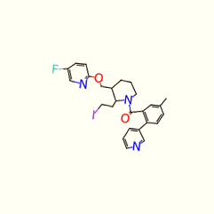 Cc1ccc(-c2cccnc2)c(C(=O)N2CCCC(COc3ccc(F)cn3)C2CCI)c1